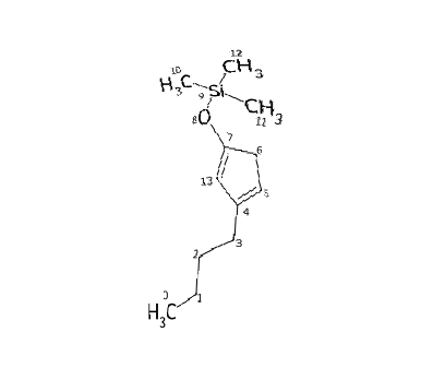 CCCCC1=CCC(O[Si](C)(C)C)=C1